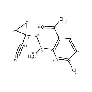 CC(=O)c1ccc(Cl)nc1N(C)CC1(C#N)CC1